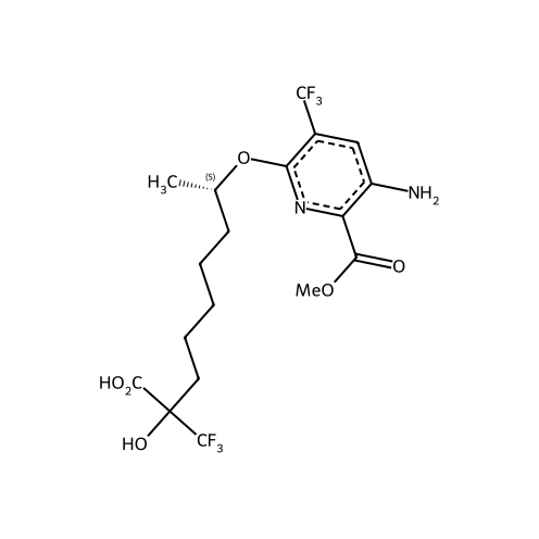 COC(=O)c1nc(O[C@@H](C)CCCCCC(O)(C(=O)O)C(F)(F)F)c(C(F)(F)F)cc1N